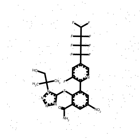 CC(C)(CO)n1nnnc1Sc1c(C(N)=O)cc([N+](=O)[O-])cc1-c1ncc(C(F)(F)C(F)(F)C(F)(F)C(F)F)cc1F